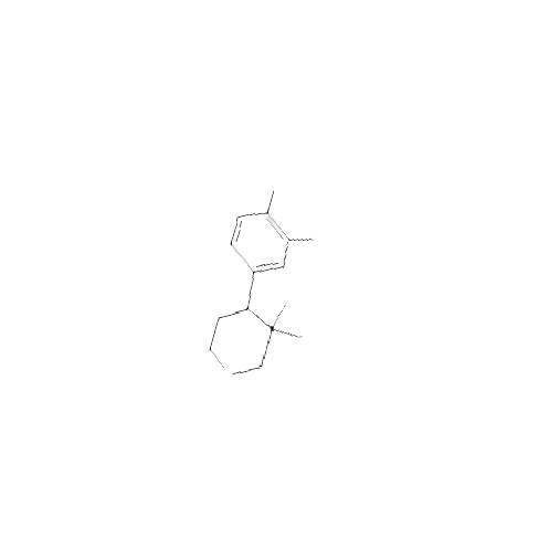 Cc1cc(C2CCNCC2(F)F)ccc1Cl